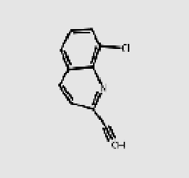 C#Cc1ccc2cccc(Cl)c2n1